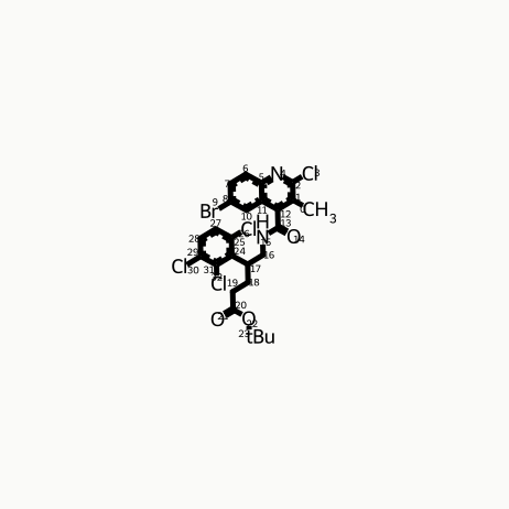 Cc1c(Cl)nc2ccc(Br)cc2c1C(=O)NCC(CCC(=O)OC(C)(C)C)c1c(Cl)ccc(Cl)c1Cl